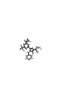 Cc1c(C(N)=O)cc(-c2cc(C3(C)CC3)nc(C(C)(C)C)n2)n1CC1CCCCC1